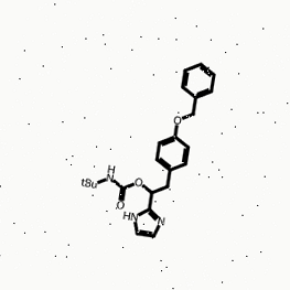 CC(C)(C)NC(=O)OC(Cc1ccc(OCc2ccccc2)cc1)c1ncc[nH]1